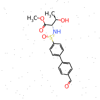 COC(=O)[C@@H](N[S+]([O-])c1ccc(-c2ccc(C=O)cc2)cc1)[C@@H](C)O